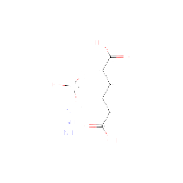 N.N.N.O=C(O)CCCCC(=O)O.OB(O)O